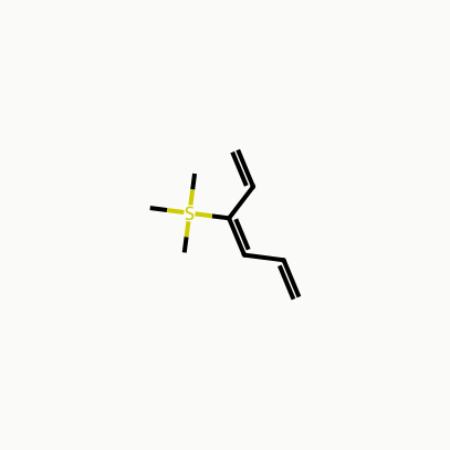 C=C/C=C(\C=C)S(C)(C)C